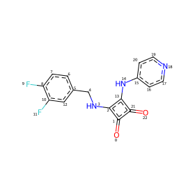 O=c1c(NCc2ccc(F)c(F)c2)c(Nc2ccncc2)c1=O